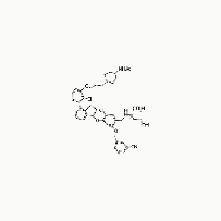 CC(=O)NC1CCN(CCCOc2cccc(-c3cccc4c3CCC4Oc3cc(OCc4cncc(C#N)c4)c(CN[C@@H](CCO)C(=O)O)cc3Cl)c2Cl)CC1